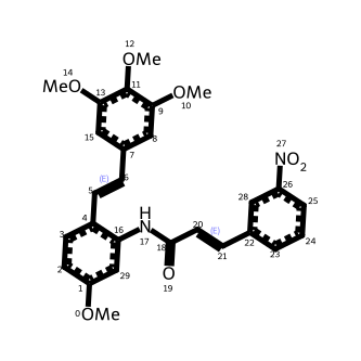 COc1ccc(/C=C/c2cc(OC)c(OC)c(OC)c2)c(NC(=O)/C=C/c2cccc([N+](=O)[O-])c2)c1